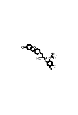 NC(=O)Nc1cc(Cl)c(O)cc1OC[C@H](O)CN1CCC2(CC1)Cc1cc(Cl)ccc1O2